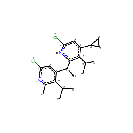 Cc1nc(Cl)cc([C@H](C)c2nc(Cl)cc(C3CC3)c2C(C)C)c1C(C)C